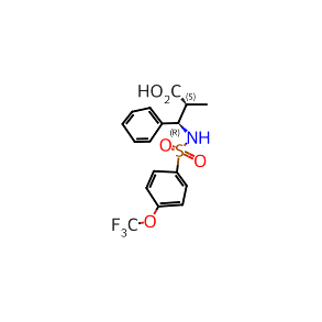 C[C@H](C(=O)O)[C@@H](NS(=O)(=O)c1ccc(OC(F)(F)F)cc1)c1ccccc1